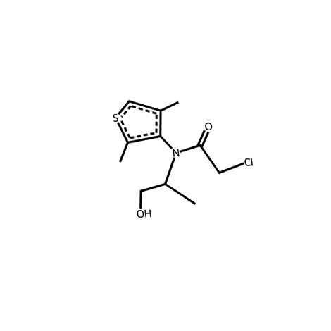 Cc1csc(C)c1N(C(=O)CCl)C(C)CO